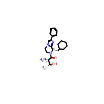 C[C@@H](O)[C@H](N)C(=O)N1CCn2cc(-c3ccccc3)nc2[C@@H]1CC1CCCCC1